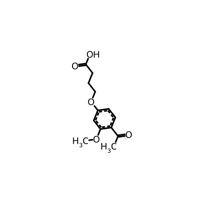 COc1cc(OCCCC(=O)O)ccc1C(C)=O